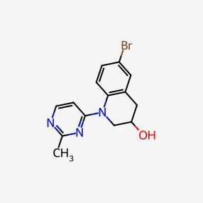 Cc1nccc(N2CC(O)Cc3cc(Br)ccc32)n1